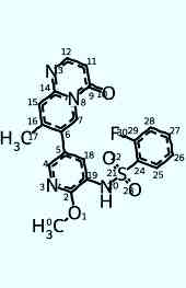 COc1ncc(-c2cn3c(=O)ccnc3cc2C)cc1NS(=O)(=O)c1ccccc1F